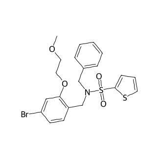 COCCOc1cc(Br)ccc1CN(Cc1ccccc1)S(=O)(=O)c1cccs1